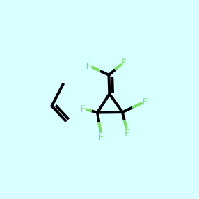 C=CC.FC(F)=C1C(F)(F)C1(F)F